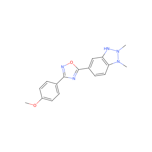 COc1ccc(-c2noc(-c3ccc4c(c3)NN(C)N4C)n2)cc1